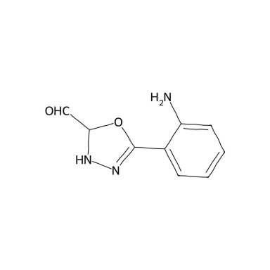 Nc1ccccc1C1=NNC(C=O)O1